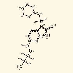 CB(OC(C)(C)C(C)(C)O)c1ccc2c(c1)[nH]c(=O)n2C(C)(C)CN1CCOCC1